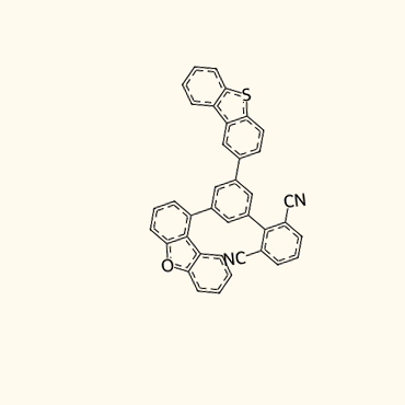 N#Cc1cccc(C#N)c1-c1cc(-c2ccc3sc4ccccc4c3c2)cc(-c2cccc3oc4ccccc4c23)c1